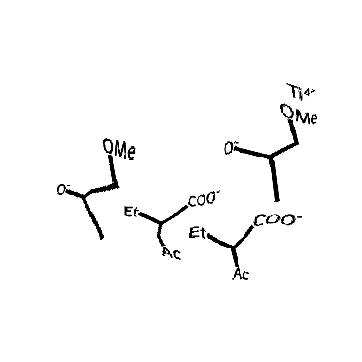 CCC(C(C)=O)C(=O)[O-].CCC(C(C)=O)C(=O)[O-].COCC(C)[O-].COCC(C)[O-].[Ti+4]